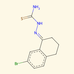 NC(=S)NN=C1CCCc2ccc(Br)cc21